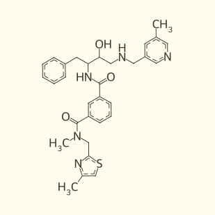 Cc1cncc(CNCC(O)C(Cc2ccccc2)NC(=O)c2cccc(C(=O)N(C)Cc3nc(C)cs3)c2)c1